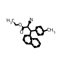 CCOC(=O)C(C#N)C(c1ccc(C)cc1)c1cccc2ccccc12